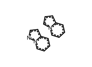 c1ccn2cccc2c1.c1ccn2nccc2c1